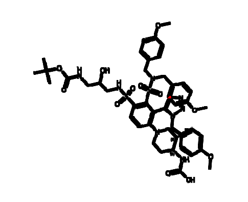 COc1ccc(CN(Cc2ccc(OC)cc2)S(=O)(=O)c2c(S(=O)(=O)NCC(O)CNC(=O)OC(C)(C)C)ccc(N3CC[C@H](NC(=O)O)[C@H](F)C3)c2-c2nnnn2Cc2ccc(OC)cc2)cc1